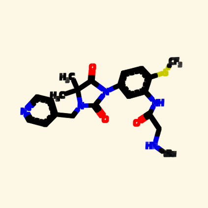 CC(C)(C)NCC(=O)Nc1cc(N2C(=O)N(Cc3ccncc3)C(C)(C)C2=O)ccc1SC(F)(F)F